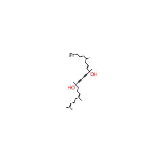 CC(C)=CCCC(C)=CCCC(C)(O)C#CC#CC(C)(O)C=CCC(C)CCCC(C)C